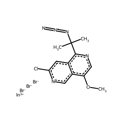 COc1cnc(C(C)(C)N=[N+]=[N-])c2cc(Cl)ncc12.[Br-].[Br-].[Br-].[In+3]